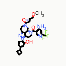 COC/C=C/C(=O)N1CCc2nn(-c3ccc(C4CCC4)cc3O)c3c2C(C1)N(C(=O)c1cnc(C(F)(F)F)cc1N)CC3